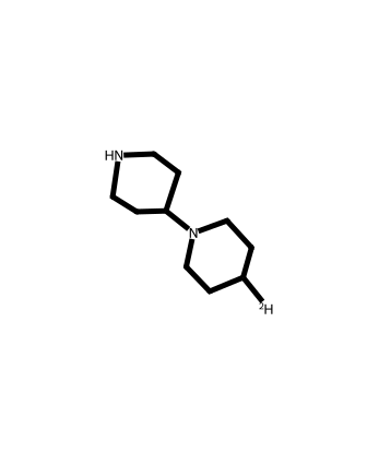 [2H]C1CCN(C2CCNCC2)CC1